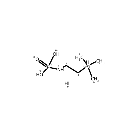 C[AsH](C)(C)CCNP(=O)(O)O.I